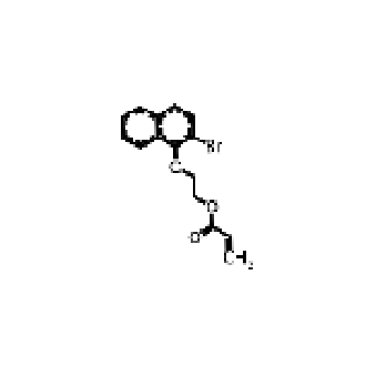 C=CC(=O)OCCOc1c(Br)ccc2ccccc12